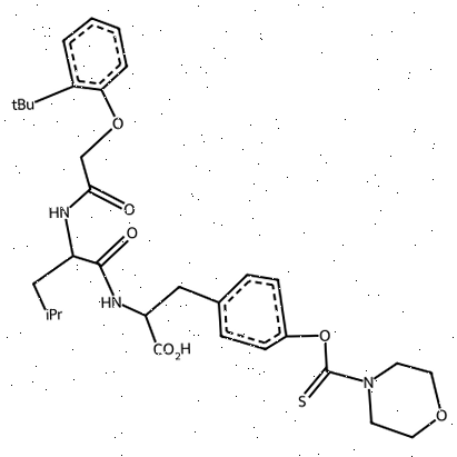 CC(C)CC(NC(=O)COc1ccccc1C(C)(C)C)C(=O)NC(Cc1ccc(OC(=S)N2CCOCC2)cc1)C(=O)O